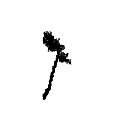 CCCCCCCCCCCCCCCCCCOC[C@H](COP(=O)(O)OC1[C@H]2O[C@@](C#N)(c3ccc4c(N)ncnn34)[C@H](O)[C@@]12O)Nc1cccc(C#N)c1